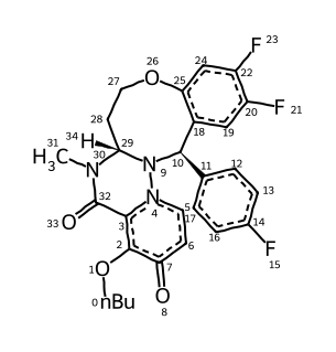 CCCCOc1c2n(ccc1=O)N1[C@H](c3ccc(F)cc3)c3cc(F)c(F)cc3OCC[C@H]1N(C)C2=O